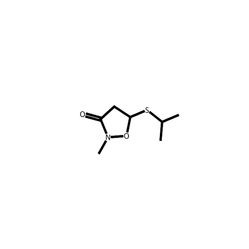 CC(C)SC1CC(=O)N(C)O1